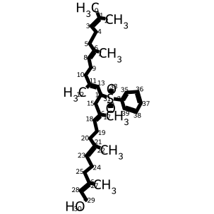 CC(C)=CCC/C(C)=C/CC/C(C)=C/C(C/C(C)=C/CC/C(C)=C/CC/C(C)=C/CO)S(=O)(=O)c1ccccc1